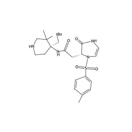 Cc1ccc(S(=O)(=O)N2C=CNC(=O)[C@H]2CC(=O)N[C@@]2(CC(C)(C)C)CCNCC2(C)C)cc1